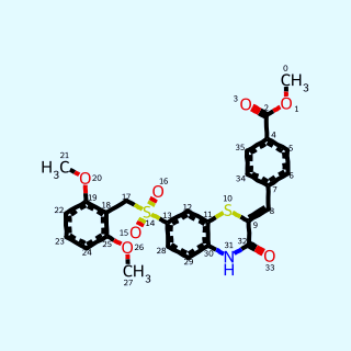 COC(=O)c1ccc(C=C2Sc3cc(S(=O)(=O)Cc4c(OC)cccc4OC)ccc3NC2=O)cc1